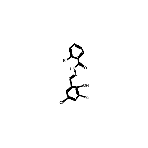 O=C(N/N=C/c1cc(Cl)cc(Br)c1O)c1ccccc1Br